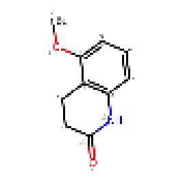 CCCCOc1cccc2c1CCC(=O)N2